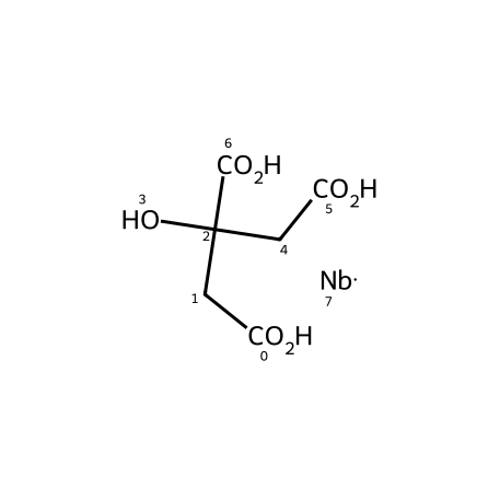 O=C(O)CC(O)(CC(=O)O)C(=O)O.[Nb]